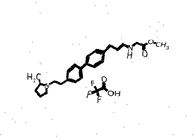 COC(=O)CNCCCc1ccc(-c2ccc(CCN3CCC[C@H]3C)cc2)cc1.O=C(O)C(F)(F)F